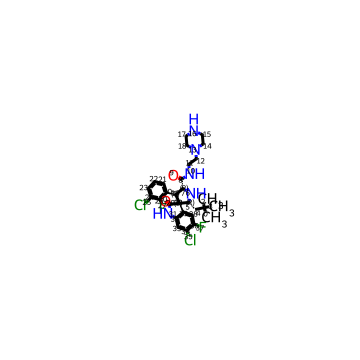 CC(C)(C)C[C@H]1N[C@@H](C(=O)NCCN2CCNCC2)[C@H](c2cccc(Cl)c2F)[C@@]12C(=O)Nc1cc(Cl)c(F)cc12